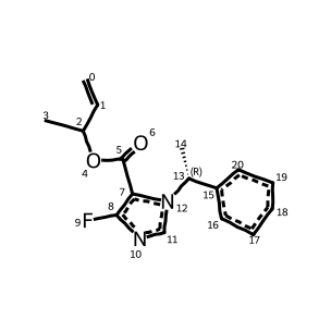 C=CC(C)OC(=O)c1c(F)ncn1[C@H](C)c1ccccc1